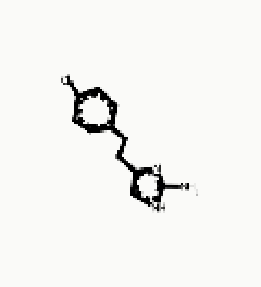 Nc1nc(CCc2ccc(Cl)cc2)c[nH]1